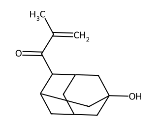 C=C(C)C(=O)C1C2CC3CC1CC(O)(C3)C2